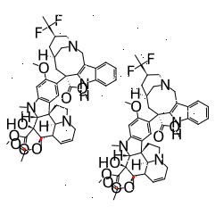 CC[C@]12C=CCN3CC[C@@]4(c5cc([C@@]6(C(=O)OC)C[C@H]7C[C@@H](C(C)(F)F)C[N@](Cc8c6[nH]c6ccccc86)C7)c(OC)cc5N(C)[C@H]4[C@@](O)(C(=O)OC)[C@@H]1OC(C)=O)[C@@H]32.CC[C@]12C=CCN3CC[C@@]4(c5cc([C@@]6(C(=O)OC)C[C@H]7C[C@@H](C(C)(F)F)C[N@](Cc8c6[nH]c6ccccc86)C7)c(OC)cc5N(C)[C@H]4[C@@](O)(C(=O)OC)[C@@H]1OC(C)=O)[C@@H]32